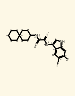 O=C(Nc1c[nH]c2cc(F)c(F)cc12)C(=O)NC1CCC2(CCCCC2)CC1